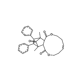 CC12C(=O)C(C)(C(c3ccccc3)=C1c1ccccc1)C1C(=O)OCC/C=C\CCOC(=O)C12